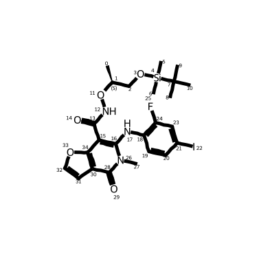 C[C@@H](CO[Si](C)(C)C(C)(C)C)ONC(=O)c1c(Nc2ccc(I)cc2F)n(C)c(=O)c2ccoc12